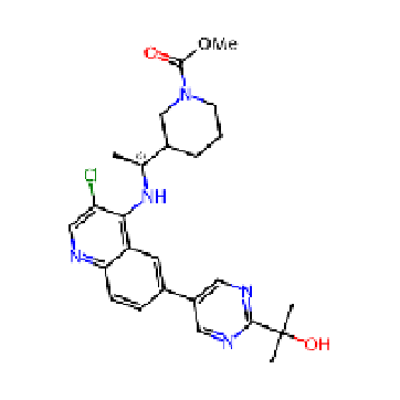 COC(=O)N1CCCC([C@H](C)Nc2c(Cl)cnc3ccc(-c4cnc(C(C)(C)O)nc4)cc23)C1